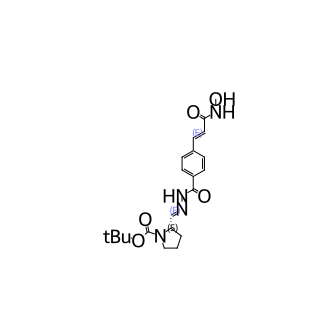 CC(C)(C)OC(=O)N1CCC[C@H]1/C=N/NC(=O)c1ccc(/C=C/C(=O)NO)cc1